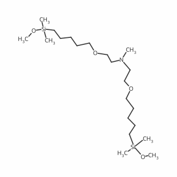 CO[Si](C)(C)CCCCCOCCN(C)CCOCCCCC[Si](C)(C)OC